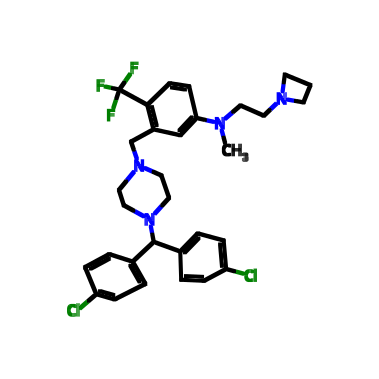 CN(CCN1CCC1)c1ccc(C(F)(F)F)c(CN2CCN(C(c3ccc(Cl)cc3)c3ccc(Cl)cc3)CC2)c1